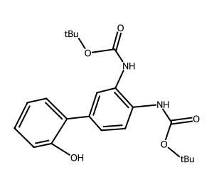 CC(C)(C)OC(=O)Nc1ccc(-c2ccccc2O)cc1NC(=O)OC(C)(C)C